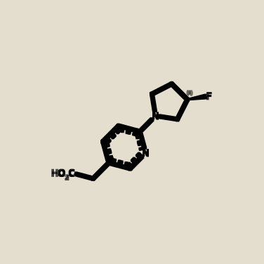 O=C(O)Cc1ccc(N2CC[C@@H](F)C2)nc1